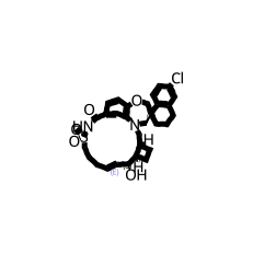 O=C1NS(=O)(=O)CCC/C=C/[C@@H](O)[C@@H]2CC[C@H]2CN2C[C@@]3(CCCc4cc(Cl)ccc43)COc3ccc1cc32